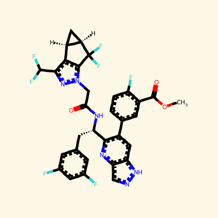 COC(=O)c1cc(-c2cc3[nH]ncc3nc2[C@H](Cc2cc(F)cc(F)c2)NC(=O)Cn2nc(C(F)F)c3c2C(F)(F)[C@@H]2C[C@H]32)ccc1F